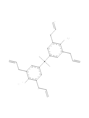 C=CCc1cc(C(C)(C)c2cc(CC=C)c(OC)c(CC=C)c2)cc(CC=C)c1OC